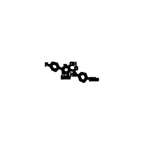 CSc1ccc(NC(=O)c2c(O)nc(-c3ccc(F)cc3)nc2SC)cc1